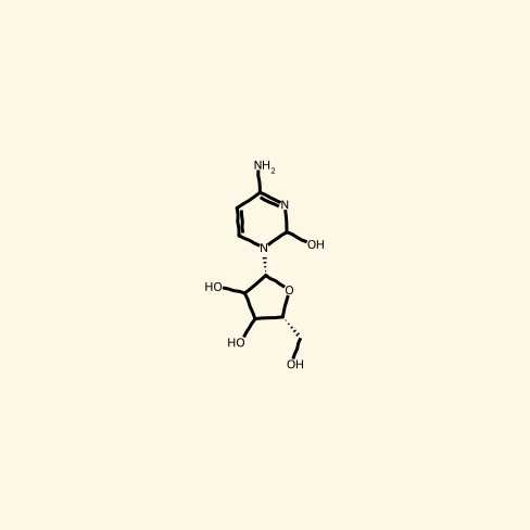 NC1=NC(O)N([C@@H]2O[C@H](CO)C(O)C2O)C=C1